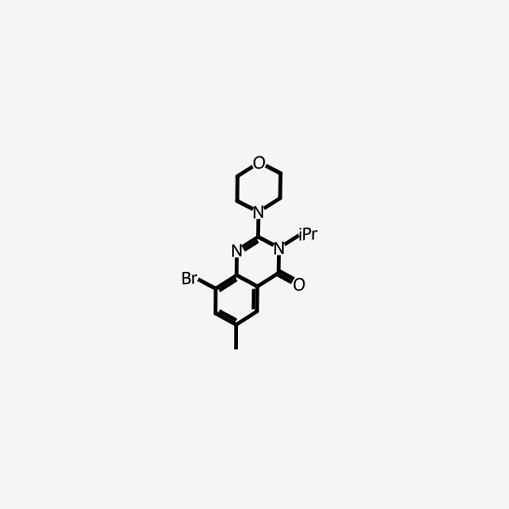 Cc1cc(Br)c2nc(N3CCOCC3)n(C(C)C)c(=O)c2c1